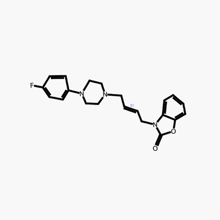 O=c1oc2ccccc2n1C/C=C/CN1CCN(c2ccc(F)cc2)CC1